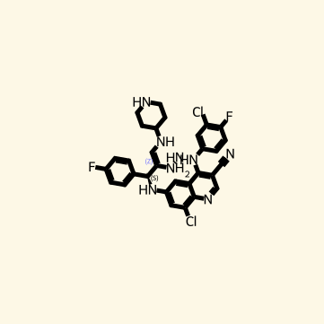 N#Cc1cnc2c(Cl)cc(N[C@H](/C(=C/NC3CCNCC3)NN)c3ccc(F)cc3)cc2c1Nc1ccc(F)c(Cl)c1